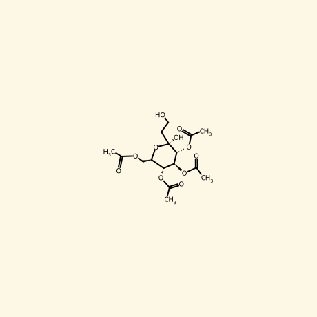 CC(=O)OC[C@H]1O[C@@](O)(CCO)[C@H](OC(C)=O)[C@@H](OC(C)=O)[C@@H]1OC(C)=O